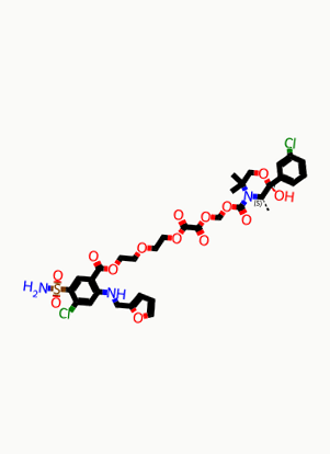 C[C@@H]1N(C(=O)OCOC(=O)C(=O)OCCOCCOC(=O)c2cc(S(N)(=O)=O)c(Cl)cc2NCc2ccco2)C(C)(C)CO[C@@]1(O)c1cccc(Cl)c1